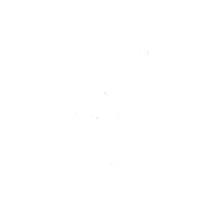 CCCC[Si](C)(C)OC(=O)CCCO